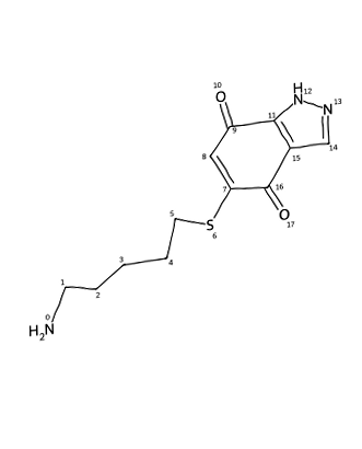 NCCCCCSC1=CC(=O)c2[nH]ncc2C1=O